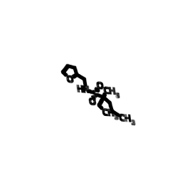 CCCC(C)(CC)S(=O)(=O)NCC1CCCO1